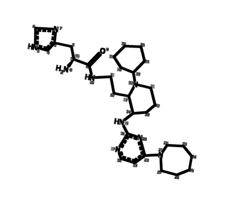 N[C@@H](Cc1c[nH]cn1)C(=O)NCCC1C(Nc2nccc(N3CCCCCC3)n2)CCCN1C1CCCCC1